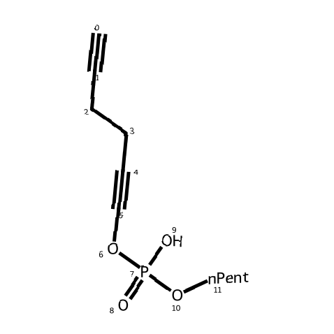 C#CCCC#COP(=O)(O)OCCCCC